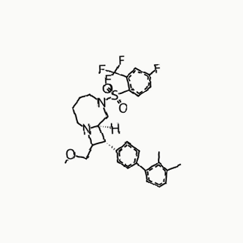 COCC1[C@@H](c2ccc(-c3cccc(C)c3C)cc2)[C@@H]2CN(S(=O)(=O)c3ccc(F)cc3C(F)(F)F)CCCCN12